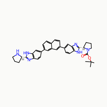 CC(C)(C)OC(=O)N1CCC[C@H]1c1nc2cc(-c3ccc4ccc(-c5ccc6nc([C@@H]7CCCN7)[nH]c6c5)cc4c3)ccc2[nH]1